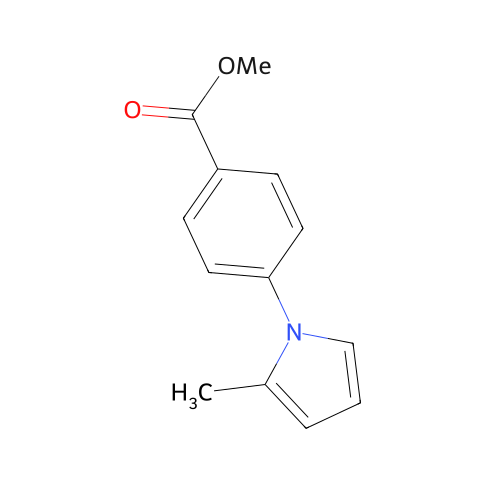 COC(=O)c1ccc(-n2cccc2C)cc1